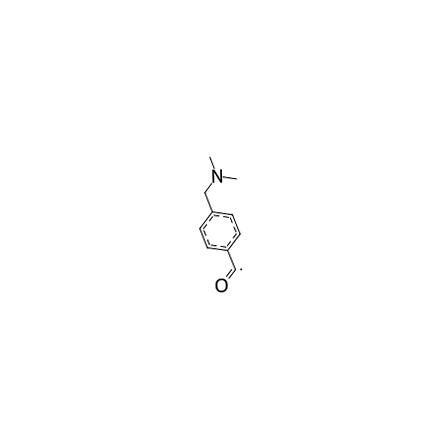 CN(C)Cc1ccc([C]=O)cc1